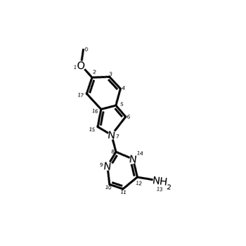 COc1ccc2cn(-c3nccc(N)n3)cc2c1